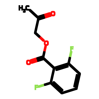 CC(=O)COC(=O)c1c(F)cccc1F